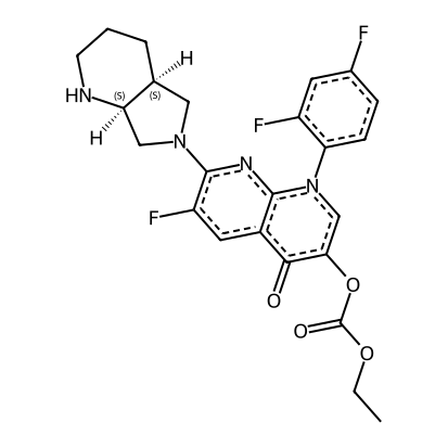 CCOC(=O)Oc1cn(-c2ccc(F)cc2F)c2nc(N3C[C@@H]4CCCN[C@@H]4C3)c(F)cc2c1=O